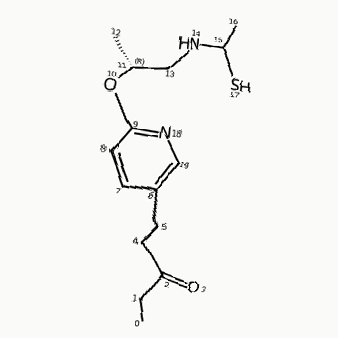 CCC(=O)CCc1ccc(O[C@H](C)CNC(C)S)nc1